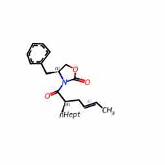 C/C=C/C[C@@H](CCCCCCC)C(=O)N1C(=O)OC[C@@H]1Cc1ccccc1